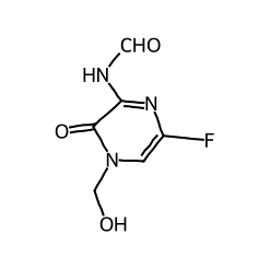 O=CNc1nc(F)cn(CO)c1=O